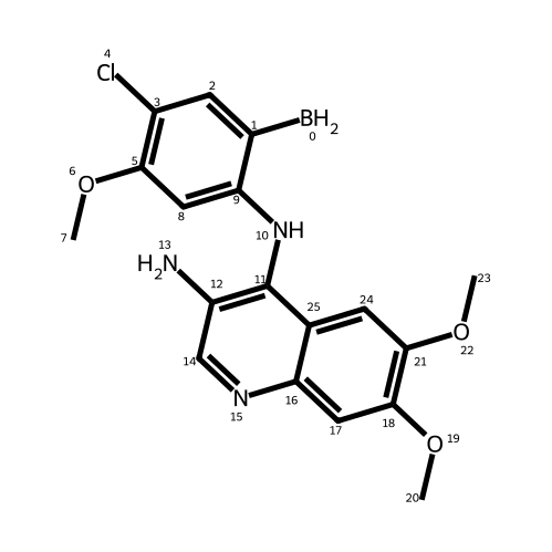 Bc1cc(Cl)c(OC)cc1Nc1c(N)cnc2cc(OC)c(OC)cc12